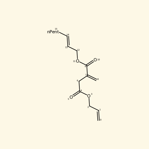 C=CCOC(=O)CC(=C)C(=O)OCC=CCCCCC